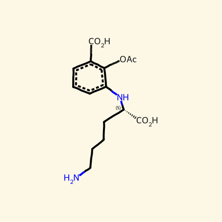 CC(=O)Oc1c(N[C@@H](CCCCN)C(=O)O)cccc1C(=O)O